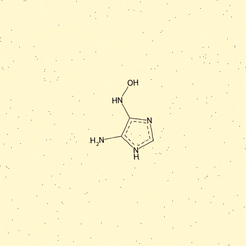 Nc1[nH]cnc1NO